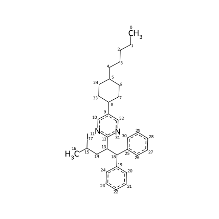 CCCCCC1CCC(c2cnc(C(CC(C)I)C(c3ccccc3)c3ccccc3)nc2)CC1